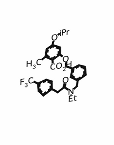 CCN(Cc1cccc(COc2cc(OC(C)C)cc(C)c2C(=O)O)c1)C(=O)Cc1ccc(C(F)(F)F)cc1